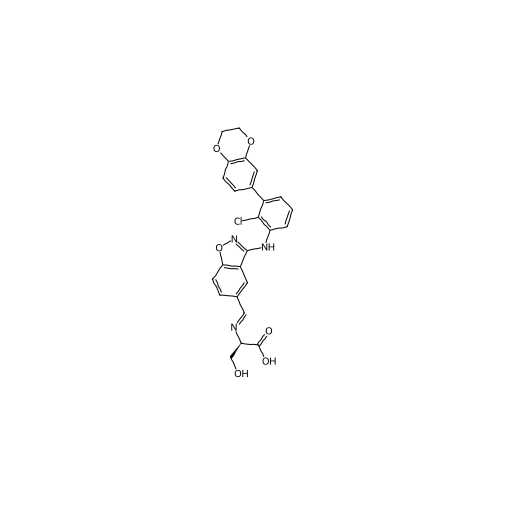 O=C(O)[C@@H](CO)N=Cc1ccc2onc(Nc3cccc(-c4ccc5c(c4)OCCO5)c3Cl)c2c1